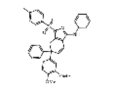 COc1ccc(C2(c3ccccc3)C=Cc3c(Nc4ccccc4)nn(S(=O)(=O)c4ccc(C)cc4)c3C2)cc1OC